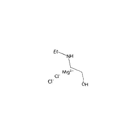 CCNCCO.[Cl-].[Cl-].[Mg+2]